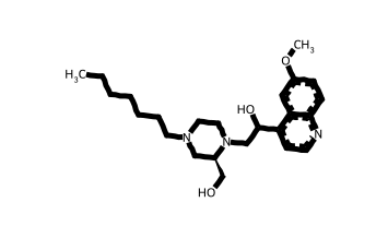 CCCCCCCN1CCN(CC(O)c2ccnc3ccc(OC)cc23)[C@@H](CO)C1